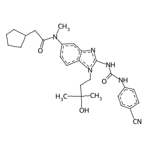 CN(C(=O)CC1CCCC1)c1ccc2c(c1)nc(NC(=O)Nc1ccc(C#N)cc1)n2CCC(C)(C)O